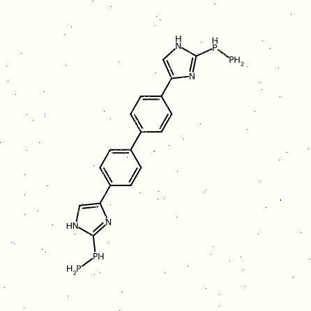 PPc1nc(-c2ccc(-c3ccc(-c4c[nH]c(PP)n4)cc3)cc2)c[nH]1